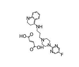 Fc1cnc(N2CCN(CCCNC3=c4ccccc4=NCC3)CC2)nc1.O=C(O)C=CC(=O)O